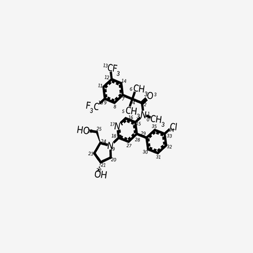 CN(C(=O)C(C)(C)c1cc(C(F)(F)F)cc(C(F)(F)F)c1)c1cnc(N2C[C@H](O)C[C@H]2CO)cc1-c1cccc(Cl)c1